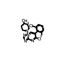 CC1CCN([N+]23C=C(c4c(F)cccc4Cl)C(Cl)=NC2=NC=N3)CC1